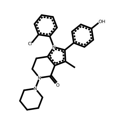 Cc1c2c(n(-c3ccccc3Cl)c1-c1ccc(O)cc1)CCN(N1CCCCC1)C2=O